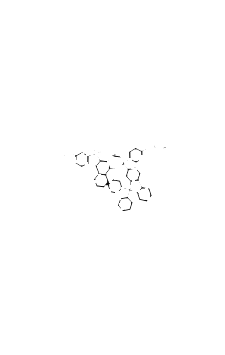 COc1ccc(C2(c3ccc4c(c3)C(c3ccccc3)(c3ccccc3)c3ccccc3-4)C=Cc3c4c(c5ccccc5c3O2)-c2ccc(C(F)(F)F)cc2C4(C)C)cc1